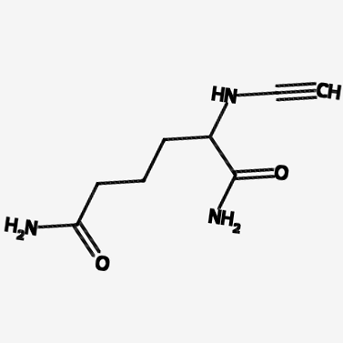 C#CNC(CCCC(N)=O)C(N)=O